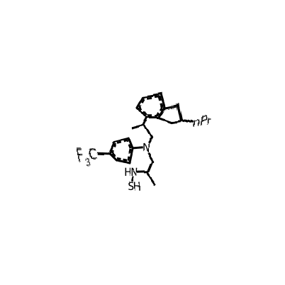 CCCC1Cc2cccc(C(C)CN(CC(C)NS)c3ccc(C(F)(F)F)cc3)c2C1